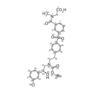 CN(CC(=O)O)C(=O)c1cccc(S(=O)(=O)c2ccc(CCN(C[C@@H](O)c3cccc(Cl)c3)C(=O)OC(C)(C)C)cc2)c1